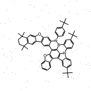 CC(C)(C)c1ccc(N2B3c4cc(C(C)(C)C)ccc4-n4c5ccc(C(C)(C)C)cc5c5c6c(oc7ccccc76)c(c3c54)-c3cc4c(cc32)oc2cc3c(cc24)C(C)(C)CCC3(C)C)cc1